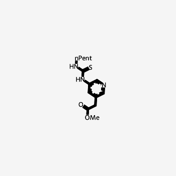 CCCCCNC(=S)Nc1cncc(CC(=O)OC)c1